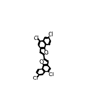 Clc1ccc2c(c1)c(Cl)cc1cc(-c3cc4cc(Cl)c5cc(Cl)ccc5c4o3)oc12